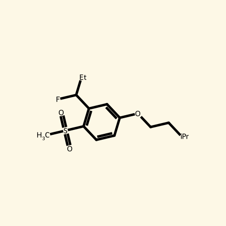 CCC(F)c1cc(OCCC(C)C)ccc1S(C)(=O)=O